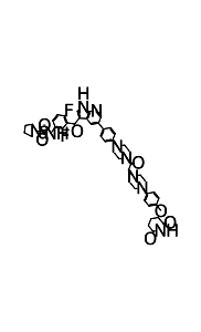 O=C1CCC(Oc2ccc(N3CCN(CC(=O)N4CCN(c5ccc(-c6cnc7[nH]cc(C(=O)c8c(F)ccc(NS(=O)(=O)N9CCCC9)c8F)c7c6)cc5)CC4)CC3)cc2)C(=O)N1